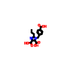 CCCc1nc(C(=O)O)c(C(=O)O)n1Cc1ccc(C(=O)O)cc1